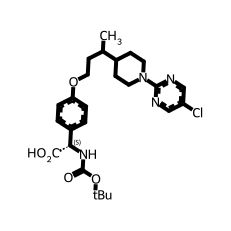 CC(CCOc1ccc([C@H](NC(=O)OC(C)(C)C)C(=O)O)cc1)C1CCN(c2ncc(Cl)cn2)CC1